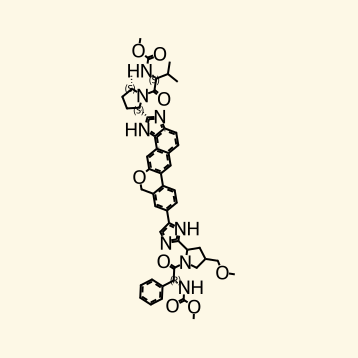 COCC1CC(c2ncc(-c3ccc4c(c3)COc3cc5c(ccc6nc([C@@H]7CC[C@H](C)N7C(=O)[C@@H](NC(=O)OC)C(C)C)[nH]c65)cc3-4)[nH]2)N(C(=O)[C@H](NC(=O)OC)c2ccccc2)C1